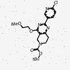 COCCOc1nc(-c2ccc(Cl)nc2)nc2c1CN(C(=O)OC(C)(C)C)CC2